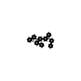 c1ccc(-c2cccc(-n3c4ccccc4c4cc(-c5ccc6c(c5)c5c(-c7ccccc7)cccc5n6-c5cccc6c5oc5ccccc56)ccc43)c2)cc1